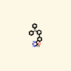 C1=NC=NC2c3cc(C4=CCCC([SiH](c5ccccc5)c5ccccc5)=C4)ccc3O[C@@H]12